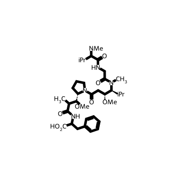 CNC(C(=O)NCC(=O)N(C)[C@@H](C(C)C)[C@@H](CC(=O)N1CCC[C@H]1C(OC)C(C)C(=O)NC(Cc1ccccc1)C(=O)O)OC)C(C)C